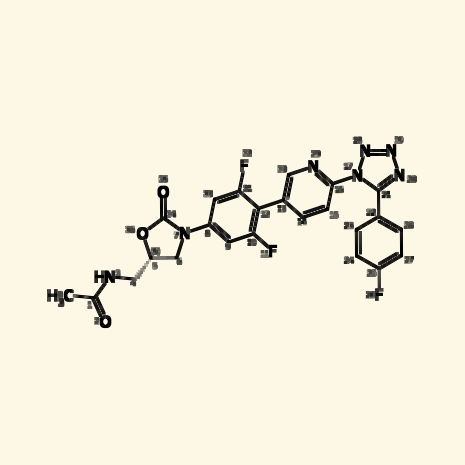 CC(=O)NC[C@H]1CN(c2cc(F)c(-c3ccc(-n4nnnc4-c4ccc(F)cc4)nc3)c(F)c2)C(=O)O1